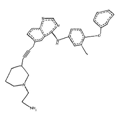 Cc1cc(Nc2ncnc3ccc(C#CC4CCCN(CCN)C4)cc23)ccc1Oc1ccccc1